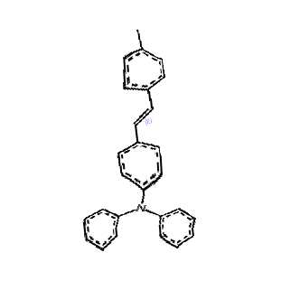 Cc1ccc(/C=C/c2ccc(N(c3ccccc3)c3ccccc3)cc2)cc1